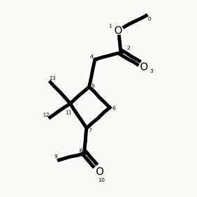 COC(=O)CC1CC(C(C)=O)C1(C)C